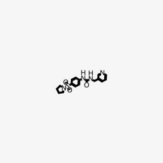 O=C(NCc1cccnc1)Nc1ccc(S(=O)(=O)N2CCCC2)cc1